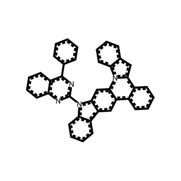 c1ccc(-c2nc(-n3c4ccccc4c4cc5c6ccccc6c6cc7ccccc7n6c5cc43)nc3ccccc23)cc1